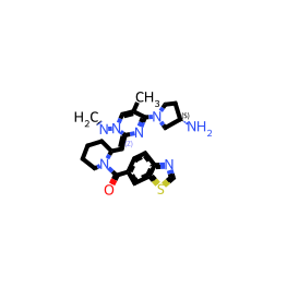 C=NN1C=C(C)C(N2CC[C@H](N)C2)=N/C1=C/C1CCCCN1C(=O)c1ccc2ncsc2c1